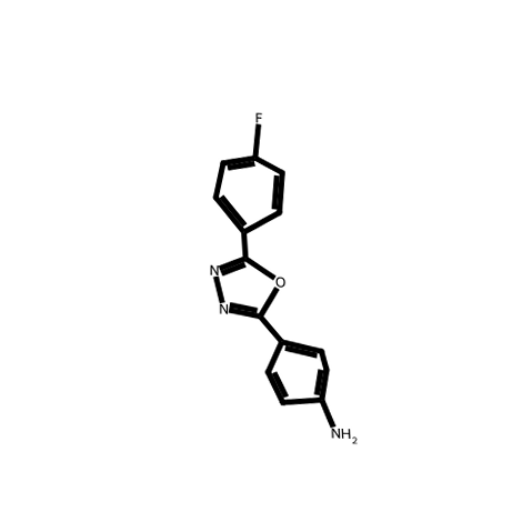 Nc1ccc(-c2nnc(-c3ccc(F)cc3)o2)cc1